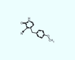 COc1ccc(Cc2cc[nH]c(=O)c2C#N)cc1